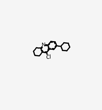 Clc1c2c(nc3ccc(C4CCCCC4)cc13)CCCC2